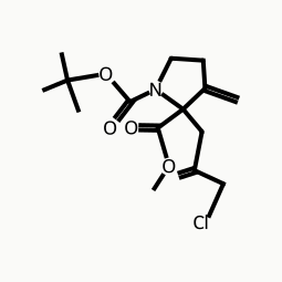 C=C(CCl)CC1(C(=O)OC)C(=C)CCN1C(=O)OC(C)(C)C